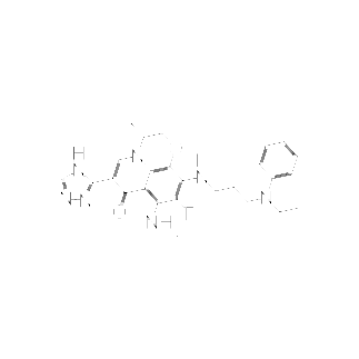 CCN(CCCNc1c(F)c(N)c2c(=O)c(-c3nnc[nH]3)cn3c2c1OC[C@@H]3C)c1ccccc1